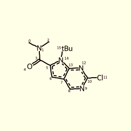 CN(C)C(=O)c1cc2cnc(Cl)nc2n1C(C)(C)C